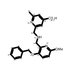 COc1ccc(OCc2ccccc2)c(CNCc2cc(C(=O)O)cc(C)n2)n1